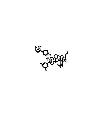 CCCCS(=O)(=O)NC(=O)[C@H](CC(C)C)NC(=O)[C@H](Cc1ccc(-c2ccno2)cc1)N(C)C(=O)c1cc(C)cc(C)c1